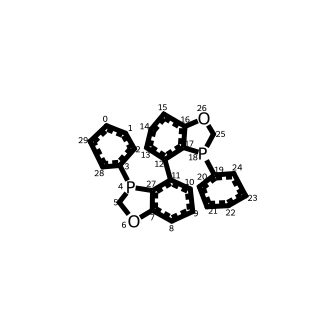 c1ccc(P2COc3cccc(-c4cccc5c4P(c4ccccc4)CO5)c32)cc1